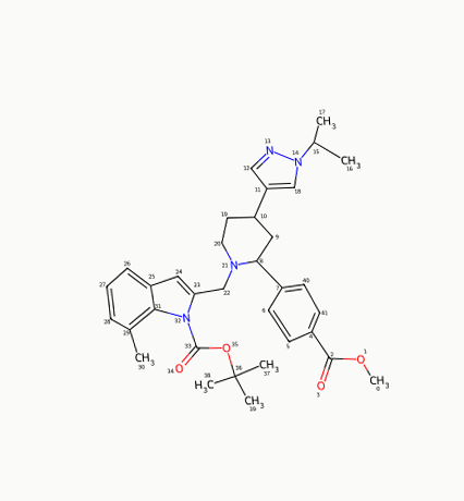 COC(=O)c1ccc(C2CC(c3cnn(C(C)C)c3)CCN2Cc2cc3cccc(C)c3n2C(=O)OC(C)(C)C)cc1